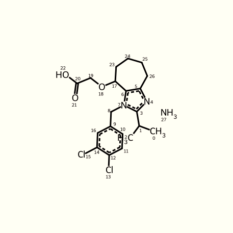 CC(C)c1nc2c(n1Cc1ccc(Cl)c(Cl)c1)C(OCC(=O)O)CCCC2.N